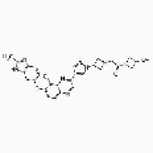 Cc1nc2ccc(Oc3ccc4ncc(-c5cnn(C6CN(CC(=O)N7CC(O)C7)C6)c5)nc4c3Cl)cc2[nH]1